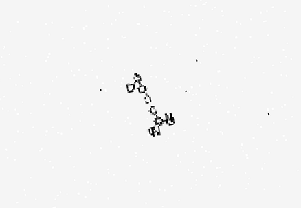 c1ccc(-c2cc(-c3ccc(-c4ccc(-c5ccc6c7ccccc7c7ccccc7c6c5)cc4)cc3)cc(-c3ccccn3)c2)nc1